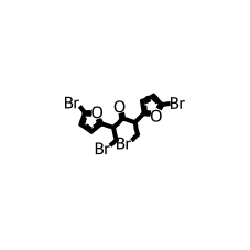 O=C(C(CBr)c1ccc(Br)o1)C(CBr)c1ccc(Br)o1